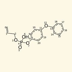 C=CCOP(=O)(O)Oc1ccc(Oc2ccccc2)cc1